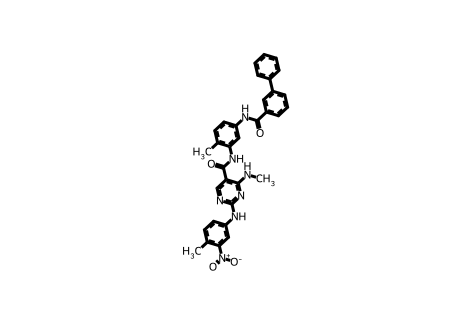 CNc1nc(Nc2ccc(C)c([N+](=O)[O-])c2)ncc1C(=O)Nc1cc(NC(=O)c2cccc(-c3ccccc3)c2)ccc1C